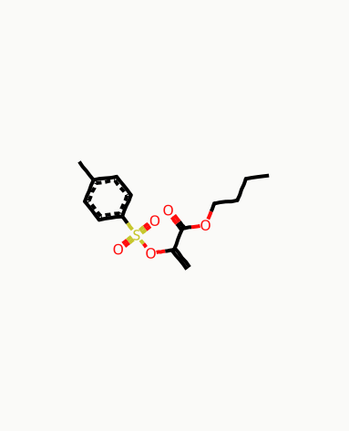 C=C(OS(=O)(=O)c1ccc(C)cc1)C(=O)OCCCC